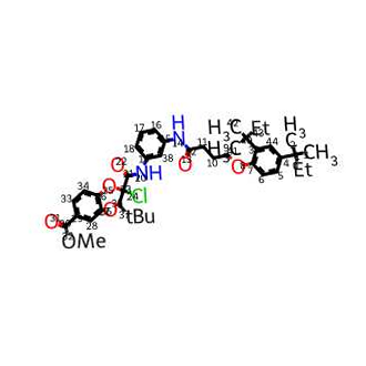 CCC(C)(C)c1ccc(OCCCC(=O)Nc2cccc(NC(=O)C(Cl)(Oc3ccc(C(=O)OC)cc3)C(=O)C(C)(C)C)c2)c(C(C)(C)CC)c1